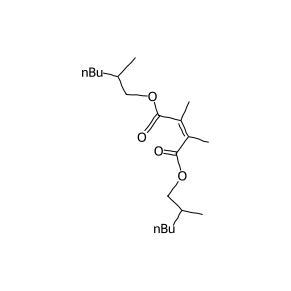 CCCCC(C)COC(=O)/C(C)=C(/C)C(=O)OCC(C)CCCC